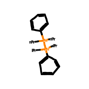 CCC[PH](CCC)(c1ccccc1)[PH](c1ccccc1)(C(C)C)C(C)C